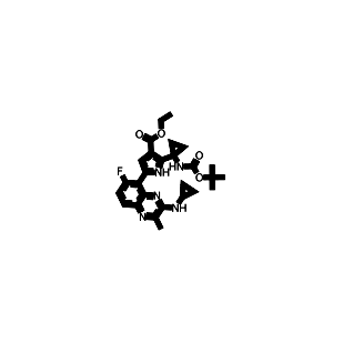 CCOC(=O)c1cc(-c2c(F)ccc3nc(C)c(NC4CC4)nc23)[nH]c1C1(NC(=O)OC(C)(C)C)CC1